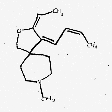 C\C=C/C=C1\C(=C/C)OCC12CCN(C)CC2